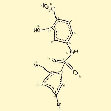 O=C(O)c1ccc(NS(=O)(=O)c2cc(Br)sc2Br)cc1O